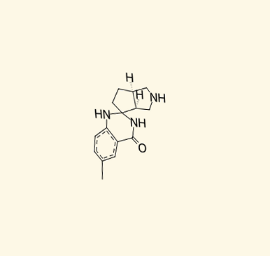 Cc1ccc2c(c1)C(=O)NC1(CC[C@H]3CNC[C@H]31)N2